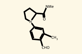 CNC(=O)C1CCCN1c1ccc(C=O)c(C)c1